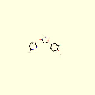 Cc1ccc(OC2=NO[C@@H](c3ccc(OC(F)(F)F)c(F)c3)C2)cn1